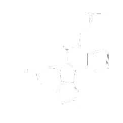 CN(C)CCn1c(=O)c2c(c3ccccc31)c1cc(Cl)ccc1n2CC(O)CO